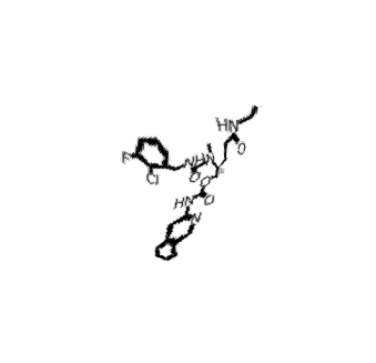 [CH2]CNC(=O)CC[C@@H](COC(=O)Nc1cc2ccccc2cn1)N(C)C(=O)NCc1cccc(F)c1Cl